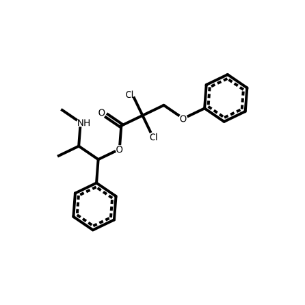 CNC(C)C(OC(=O)C(Cl)(Cl)COc1ccccc1)c1ccccc1